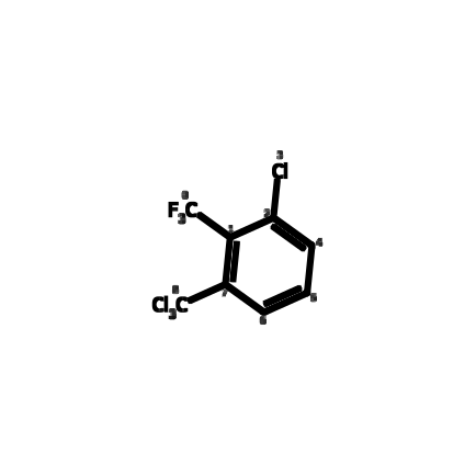 FC(F)(F)c1c(Cl)cccc1C(Cl)(Cl)Cl